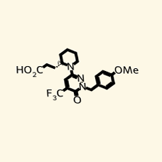 COc1ccc(Cn2nc(N3CCCC[C@H]3CCC(=O)O)cc(C(F)(F)F)c2=O)cc1